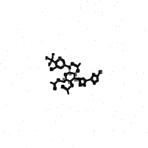 CC(=O)OC[C@H]1O[C@H](Sc2cnc(C(F)(F)F)c(Br)c2)[C@H](OC(C)=O)[C@@H](n2cc(-c3nc(Cl)cs3)nn2)[C@H]1OC(C)=O